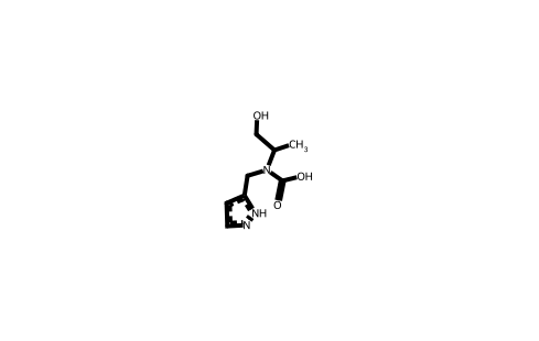 CC(CO)N(Cc1ccn[nH]1)C(=O)O